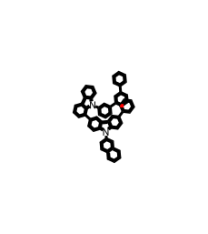 c1ccc(-c2cccc(-c3cccc(-n4c5ccccc5c5cccc(-c6ccc7c(c6)c6cc(-c8ccccc8)ccc6n7-c6ccc7ccccc7c6)c54)c3)c2)cc1